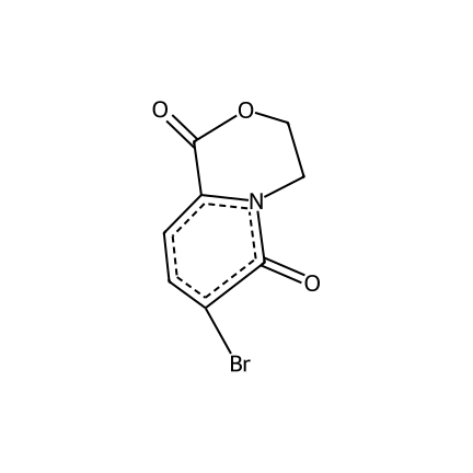 O=C1OCCn2c1ccc(Br)c2=O